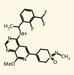 CN=S1(=O)CC=C(c2cc3c(NC(C)c4cccc(C(F)F)c4F)ncnc3c(OC)n2)CC1